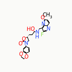 COc1ccc2ncc(F)c(CN[C@H](O)CC[C@@H]3CN(c4ccc5c(c4)OCCO5)C(=O)O3)c2n1